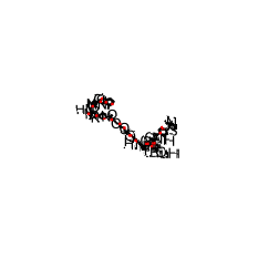 Cc1nc(Nc2ncc(C(=O)Nc3c(C)cccc3Cl)s2)cc(N2CCN(C(=O)CCOCCOCCOCCCN[C@H](C(=O)N3C[C@H](O)C[C@H]3C(=O)NCc3ccc(-c4scnc4C)cc3)C(C)(C)C)CC2)n1